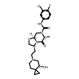 C[C@H]1C(=O)N2[C@@H](CCN3CCC4(CC4)[C@H](O)C3)CO[C@H]2CN1C(=O)Nc1ccc(F)c(Cl)c1